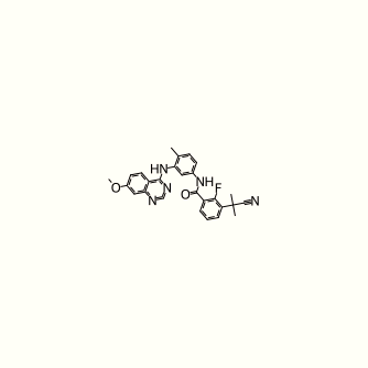 COc1ccc2c(Nc3cc(NC(=O)c4cccc(C(C)(C)C#N)c4F)ccc3C)ncnc2c1